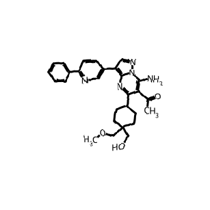 COCC1(CO)CCC(c2nc3c(-c4ccc(-c5ccccc5)nc4)cnn3c(N)c2C(C)=O)CC1